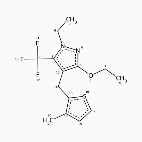 CCOc1nn(CC)c(C(F)(F)F)c1Cc1sccc1C